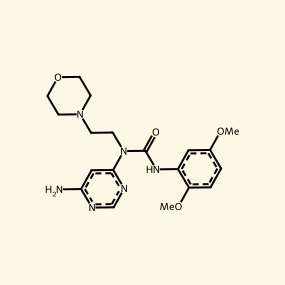 COc1ccc(OC)c(NC(=O)N(CCN2CCOCC2)c2cc(N)ncn2)c1